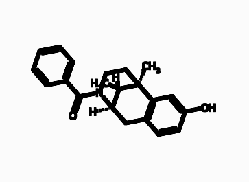 C[C@H]1[C@H]2Cc3ccc(O)cc3[C@]1(C)CCN2C(=O)c1ccccc1